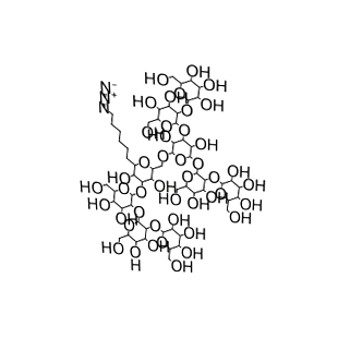 [N-]=[N+]=NCCCCCCC1OC(COC2OC(OC3OC(CO)C(O)C(O)C3OC3OC(CO)C(O)C(O)C3O)C(O)C(OC3OC(CO)C(O)C(O)C3OC3OC(CO)C(O)C(O)C3O)C2O)C(O)C(OC2OC(CO)C(O)C(O)C2OC2OC(CO)C(O)C(O)C2OC2OC(CO)C(O)C(O)C2O)C1O